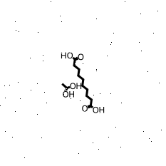 CC(O)O.O=C(O)CCCCCCCCC(=O)O